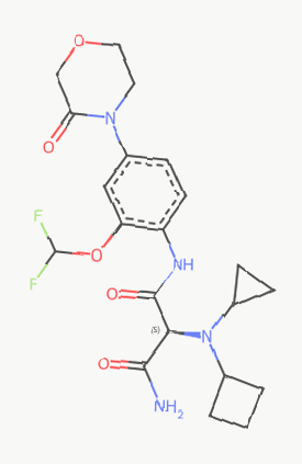 NC(=O)[C@@H](C(=O)Nc1ccc(N2CCOCC2=O)cc1OC(F)F)N(C1CCC1)C1CC1